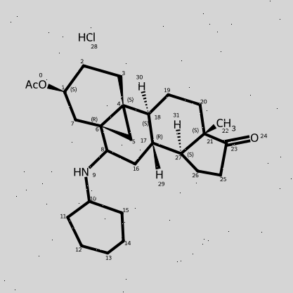 CC(=O)O[C@H]1CC[C@@]23C[C@]2(C1)C(NC1CCCCC1)C[C@@H]1[C@@H]3CC[C@]2(C)C(=O)CC[C@@H]12.Cl